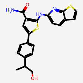 CC(CO)c1ccc(-c2cc(C(N)=O)c(Nc3ccc4ccsc4n3)s2)cc1